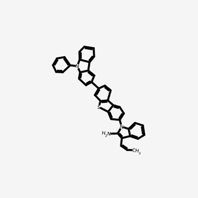 C/C=C\c1c(N)n(-c2ccc3c(c2)sc2cc(-c4ccc5c(c4)c4ccccc4n5-c4ccccc4)ccc23)c2ccccc12